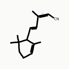 CC1=CCCC(C)(C)C1C=C/C(C)=C\C#N